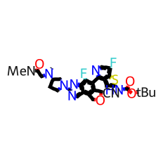 CNC(=O)CN(C)[C@H]1CCN(c2ncc3c4c(c(-c5ncc(F)c6sc(NC(=O)OC(C)(C)C)c(C#N)c56)c(F)c3n2)COC4)C1